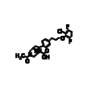 CC(=O)N1CC2CC(c3ccc(CCCOc4c(F)ccc(F)c4Cl)cc3)=C(C(=O)O)C(C1)N2